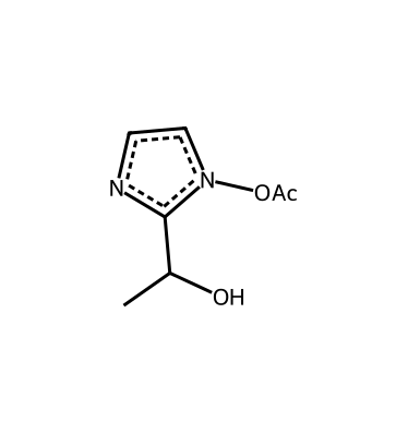 CC(=O)On1ccnc1C(C)O